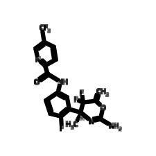 C=C1OC(N)=N[C@](C)(c2cc(NC(=O)c3ccc(C(F)(F)F)cn3)ccc2F)C1(F)F